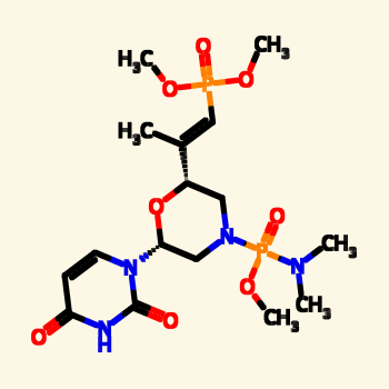 COP(=O)(/C=C(\C)[C@@H]1CN(P(=O)(OC)N(C)C)C[C@H](n2ccc(=O)[nH]c2=O)O1)OC